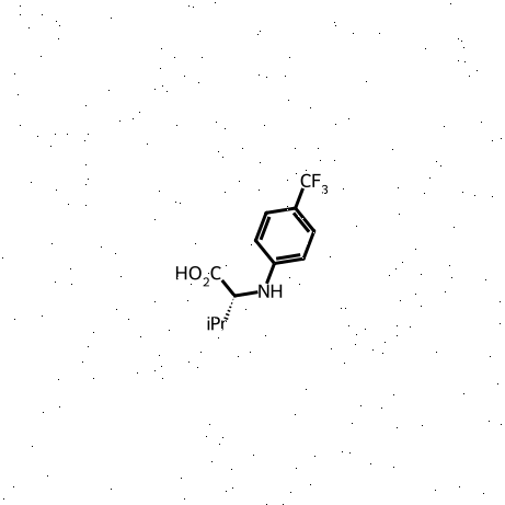 CC(C)[C@@H](Nc1ccc(C(F)(F)F)cc1)C(=O)O